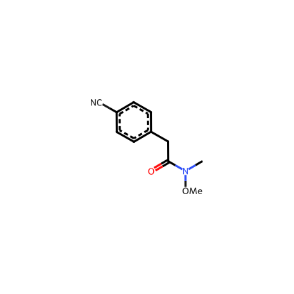 CON(C)C(=O)Cc1ccc(C#N)cc1